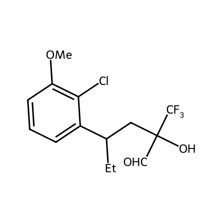 CCC(CC(O)(C=O)C(F)(F)F)c1cccc(OC)c1Cl